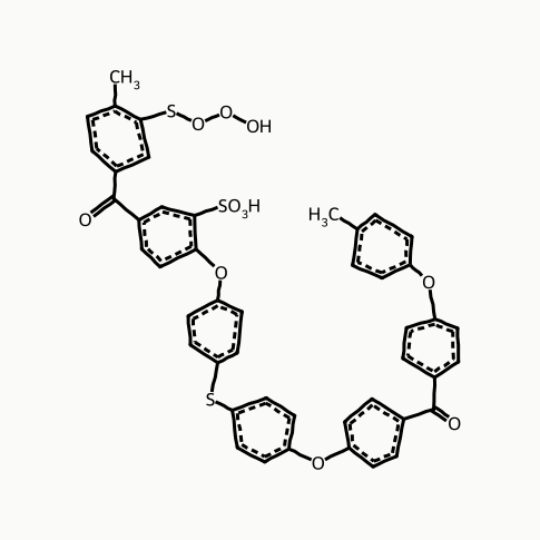 Cc1ccc(Oc2ccc(C(=O)c3ccc(Oc4ccc(Sc5ccc(Oc6ccc(C(=O)c7ccc(C)c(SOOO)c7)cc6S(=O)(=O)O)cc5)cc4)cc3)cc2)cc1